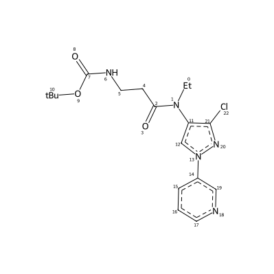 CCN(C(=O)CCNC(=O)OC(C)(C)C)c1cn(-c2cccnc2)nc1Cl